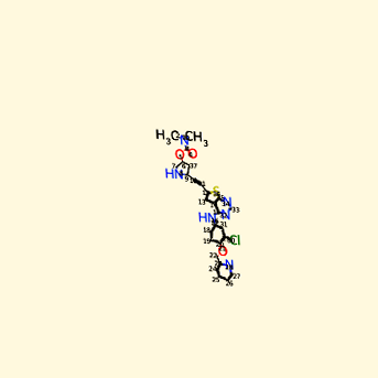 CN(C)C(=O)OC1CNC(C#Cc2cc3c(Nc4ccc(OCc5ccccn5)c(Cl)c4)ncnc3s2)C1